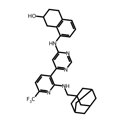 OC1CCc2cccc(Nc3cc(-c4ccc(C(F)(F)F)nc4NCC45CC6CC(CC(C6)C4)C5)ncn3)c2C1